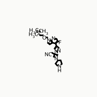 CS(C)(C)CCOCn1ccc2c(-c3cnn(C4(CC#N)CN(C5CCNCC5)C4)c3)c(F)cnc21